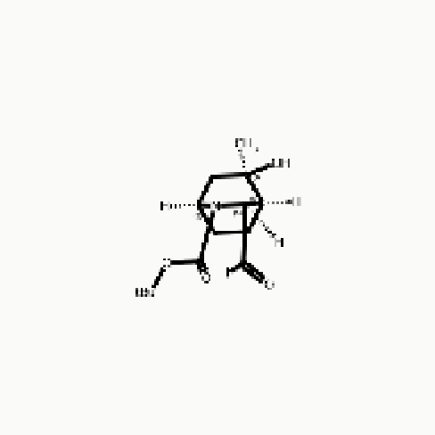 CC(C)(C)OC(=O)N1[C@H]2CC[C@@H]([C@H]1C(=O)I)[C@](C)(O)C2